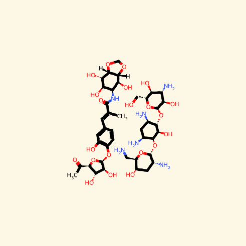 CC(=O)[C@H]1O[C@@H](Oc2ccc(/C=C(\C)C(=O)N[C@H]3[C@@H](O)[C@H](O)[C@@H]4OCO[C@@H]4[C@H]3O)cc2O)[C@@H](O)[C@@H]1O.NC[C@H]1O[C@H](O[C@H]2[C@H](O)[C@@H](O[C@H]3O[C@H](CO)[C@@H](O)[C@H](N)[C@H]3O)[C@H](N)C[C@@H]2N)[C@H](N)C[C@@H]1O